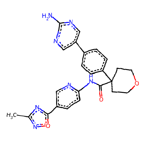 Cc1noc(-c2ccc(NC(=O)C3(c4ccc(-c5cnc(N)nc5)cc4)CCOCC3)nc2)n1